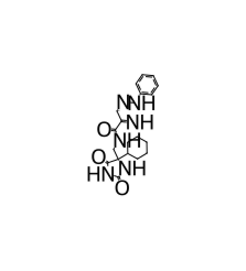 N=C(/C=N\Nc1ccccc1)C(=O)NCC1(C2CCCCC2)NC(=O)NC1=O